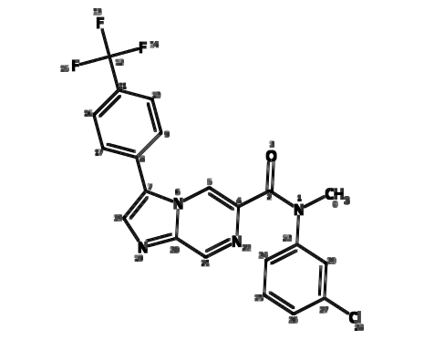 CN(C(=O)c1cn2c(-c3ccc(C(F)(F)F)cc3)cnc2cn1)c1cccc(Cl)c1